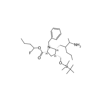 CCCC(F)OC(=O)[C@H]1C[C@@H](CO[Si](C)(C)C(C)(C)C)[C@@H](CC(CCC)C(C)N)N1Cc1ccccc1